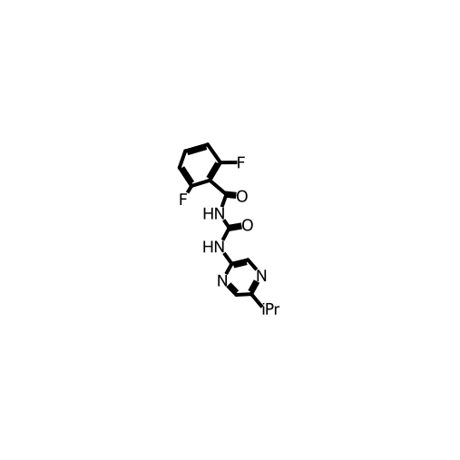 CC(C)c1cnc(NC(=O)NC(=O)c2c(F)cccc2F)cn1